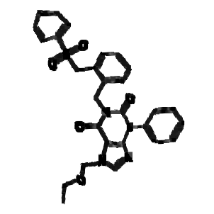 CCOCn1cnc2c1c(=O)n(Cc1ccccc1CS(=O)(=O)c1ccccc1)c(=O)n2-c1ccccc1